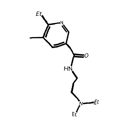 CCc1ncc(C(=O)NCCN(CC)CC)cc1C